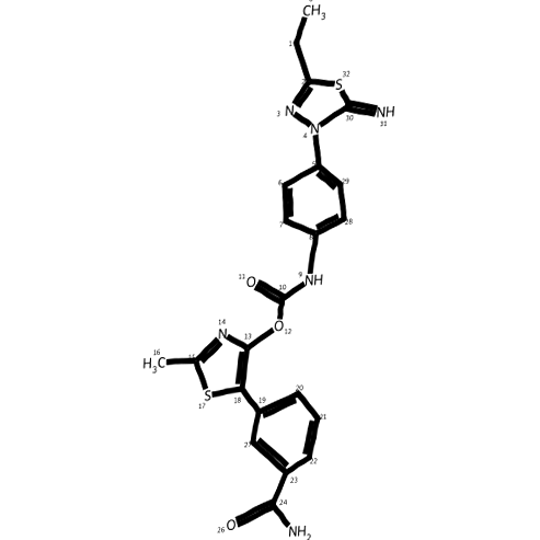 CCc1nn(-c2ccc(NC(=O)Oc3nc(C)sc3-c3cccc(C(N)=O)c3)cc2)c(=N)s1